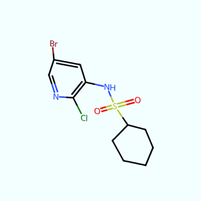 O=S(=O)(Nc1cc(Br)cnc1Cl)C1CCCCC1